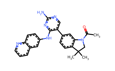 CC(=O)N1CC(C)(C)c2ccc(-c3cnc(N)nc3Nc3ccc4ncccc4c3)cc21